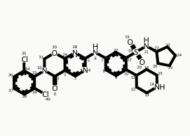 O=C1c2cnc(Nc3ccc(C4CCNCC4)c(S(=O)(=O)NC4CCCC4)c3)nc2OCN1c1c(Cl)cccc1Cl